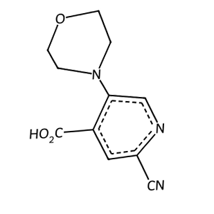 N#Cc1cc(C(=O)O)c(N2CCOCC2)cn1